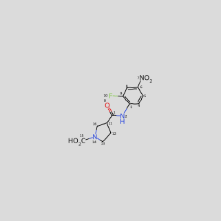 O=C(Nc1ccc([N+](=O)[O-])cc1F)C1CCN(C(=O)O)C1